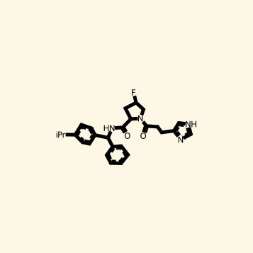 CC(C)c1ccc(C(NC(=O)C2CC(F)CN2C(=O)CCc2c[nH]cn2)c2ccccc2)cc1